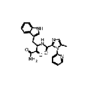 Cc1cnc(C(=O)NC(Cc2c[nH]c3ccccc23)C(=O)C(N)=O)n1-c1ccccn1